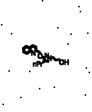 CCCc1cn(CCCO)nc1OCc1ccc2ccccc2n1